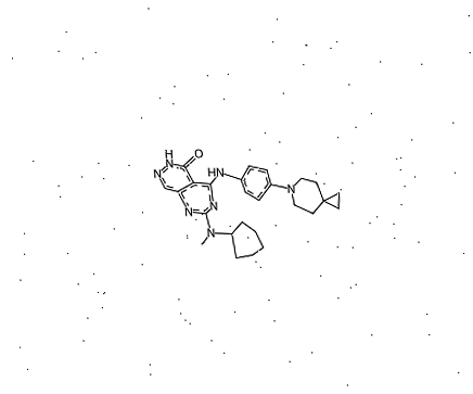 CN(c1nc(Nc2ccc(N3CCC4(CC3)CC4)cc2)c2c(=O)[nH]ncc2n1)C1CCCCC1